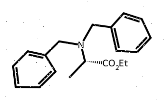 CCOC(=O)[C@H](C)N(Cc1ccccc1)Cc1ccccc1